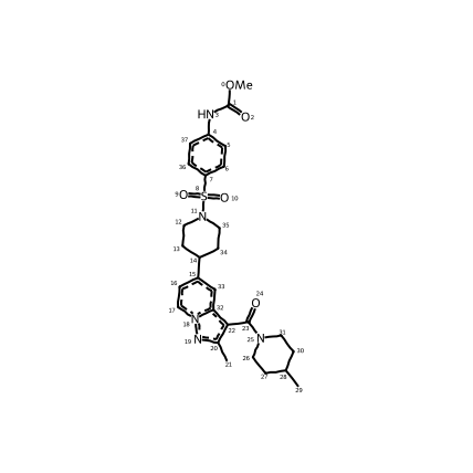 COC(=O)Nc1ccc(S(=O)(=O)N2CCC(c3ccn4nc(C)c(C(=O)N5CCC(C)CC5)c4c3)CC2)cc1